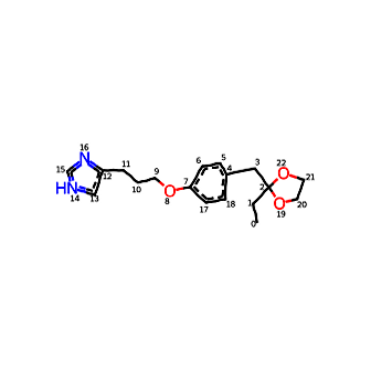 CCC1(Cc2ccc(OCCCc3c[nH]cn3)cc2)OCCO1